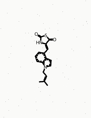 CC(C)=CCn1ccc2c(C=C3NC(=O)SC3=O)cccc21